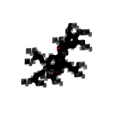 COc1cc(C(=O)OC2C(CC=C(C)C)C(=O)[C@@]3(C(=O)C(C)C)C(O)[C@]2(CC=C(C)C)C[C@H](CC=C(C)C)[C@@]3(C)CCC=C(C)C)cc(OC)c1OC